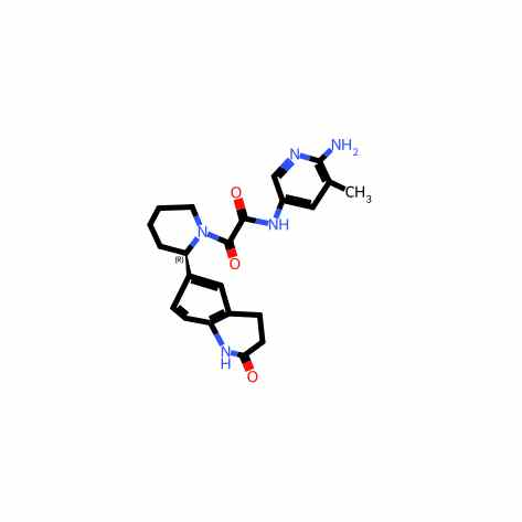 Cc1cc(NC(=O)C(=O)N2CCCC[C@@H]2c2ccc3c(c2)CCC(=O)N3)cnc1N